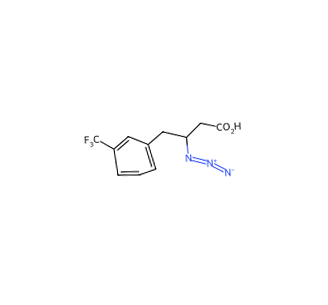 [N-]=[N+]=NC(CC(=O)O)Cc1cccc(C(F)(F)F)c1